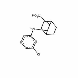 O=C(O)C1C2CCC(CC2)C1Nc1cncc(Cl)n1